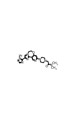 CC(C)n1ncnc1-c1cn2c(n1)-c1cnc(N3CCN(CC(=O)N(C)C)CC3)cc1OCC2